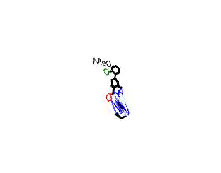 COc1cccc(-c2ccc3c(=O)n(-c4ncccn4)ncc3c2)c1Cl